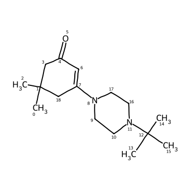 CC1(C)CC(=O)C=C(N2CCN(C(C)(C)C)CC2)C1